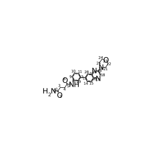 NC(=O)CCC(=O)Nc1cccc(-c2ccc3ncc(N4CCOCC4)nc3c2)c1